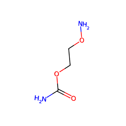 NOCCOC(N)=O